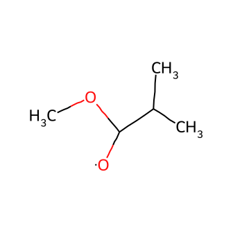 COC([O])C(C)C